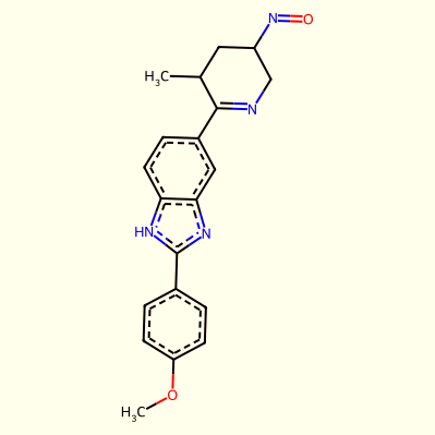 COc1ccc(-c2nc3cc(C4=NCC(N=O)CC4C)ccc3[nH]2)cc1